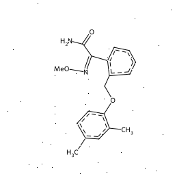 CON=C(C(N)=O)c1ccccc1COc1ccc(C)cc1C